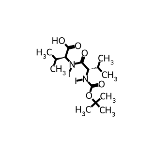 CC(C)[C@@H](C(=O)N(I)[C@H](C(=O)O)C(C)C)N(I)C(=O)OC(C)(C)C